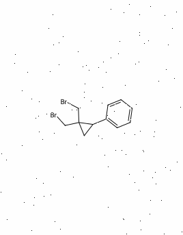 BrCC1(CBr)CC1c1ccccc1